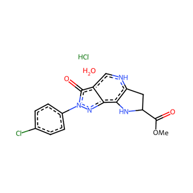 COC(=O)C1Cc2[nH]cc3c(=O)n(-c4ccc(Cl)cc4)nc-3c2N1.Cl.O